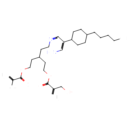 C=C(C)C(=O)OCCC(CC/N=C\C(=C/N)C1CCC(CCCCC)CC1)CCOC(=O)C(=C)CO